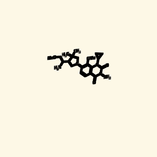 COCC(N)C1CN(c2ccc3c(=O)n(N)c(=O)n(C4CC4)c3c2OC)CC1(C)C